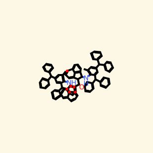 Cc1cc(C(c2ccccc2)c2ccccc2)cc(C(c2ccccc2)c2ccccc2)c1NC1c2cccc3cccc(c23)C1C(=O)C1c2cccc3cccc(c23)C1Nc1c(C)cc(C(c2ccccc2)c2ccccc2)cc1C(c1ccccc1)c1ccccc1